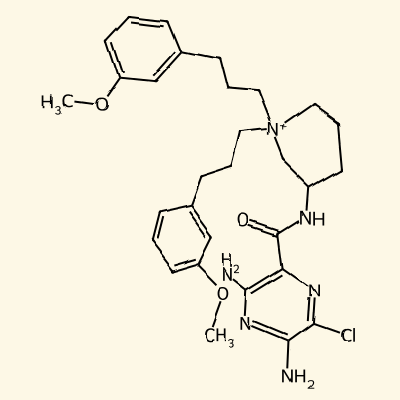 COc1cccc(CCC[N+]2(CCCc3cccc(OC)c3)CCCC(NC(=O)c3nc(Cl)c(N)nc3N)C2)c1